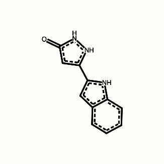 O=c1cc(-c2cc3ccccc3[nH]2)[nH][nH]1